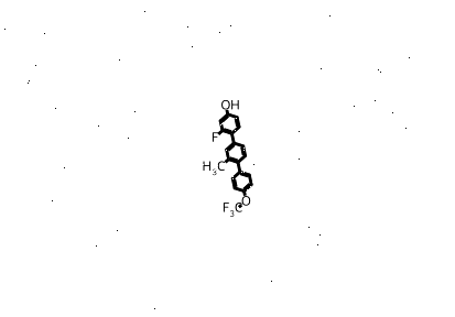 Cc1cc(-c2ccc(O)cc2F)ccc1-c1ccc(OC(F)(F)F)cc1